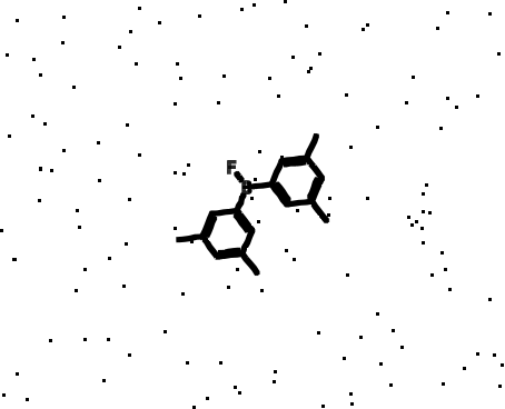 Cc1cc(C)cc(B(F)c2cc(C)cc(C)c2)c1